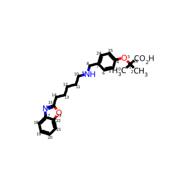 CC(C)(Oc1ccc(CNCCCCCc2nc3ccccc3o2)cc1)C(=O)O